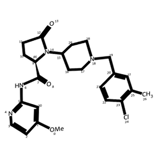 COc1ccnc(NC(=O)[C@H]2CCC(=O)N2C2CCN(Cc3ccc(Cl)c(C)c3)CC2)c1